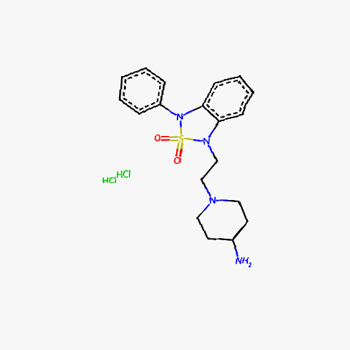 Cl.Cl.NC1CCN(CCN2c3ccccc3N(c3ccccc3)S2(=O)=O)CC1